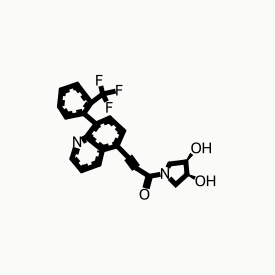 O=C(C#Cc1ccc(-c2ccccc2C(F)(F)F)c2ncccc12)N1C[C@@H](O)[C@@H](O)C1